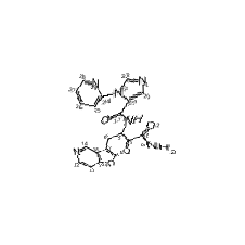 NC(=O)C(=O)C(Cc1coc2ccncc12)NC(=O)c1cncn1-c1ccccn1